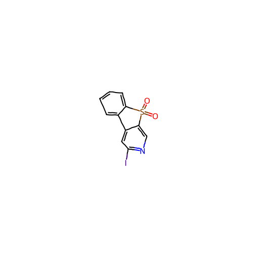 O=S1(=O)c2ccccc2-c2cc(I)ncc21